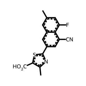 Cc1cc(F)c2c(C#N)cc(-c3nc(C)c(C(=O)O)s3)cc2c1